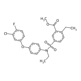 CCc1ccc(S(=O)(=O)N(CC)c2ccc(Oc3ccc(F)c(Cl)c3)cc2)cc1C(=O)OC